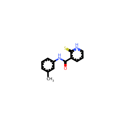 Cc1cccc(NC(=O)c2ccc[nH]c2=S)c1